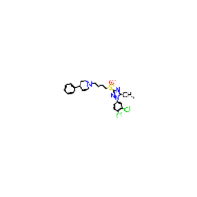 Cc1nc([S+]([O-])CCCCN2CCC(c3ccccc3)CC2)nn1-c1ccc(Cl)c(Cl)c1